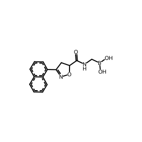 O=C(NCB(O)O)C1CC(c2cccc3ccccc23)=NO1